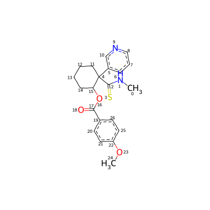 CNC(=S)C1(c2cccnc2)CCCCC1OC(=O)c1ccc(OC)cc1